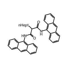 CCCCCCCC(C(=O)Nc1c2ccccc2cc2ccccc12)C(=O)Nc1c2ccccc2cc2ccccc12